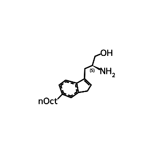 CCCCCCCCc1ccc2c(c1)CC=C2C[C@H](N)CO